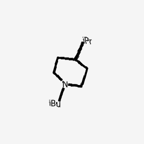 CCC(C)N1CCC(C(C)C)CC1